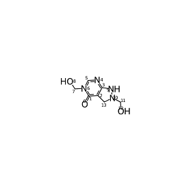 O=c1c2c(ncn1CO)NN(CO)C2